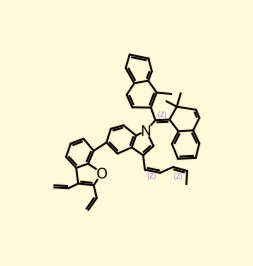 C=Cc1oc2c(-c3ccc4c(c3)c(/C=C\C=C/C)cn4/C(=C3\c4ccccc4C=CC3(C)C)c3ccc4ccccc4c3C)cccc2c1C=C